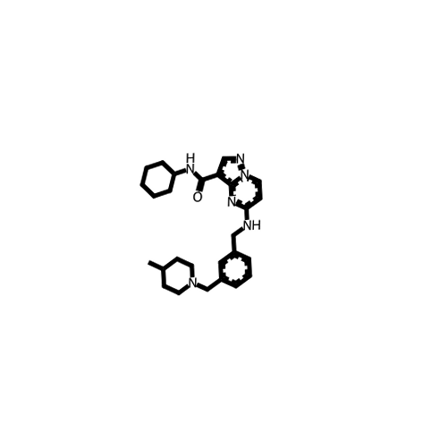 CC1CCN(Cc2cccc(CNc3ccn4ncc(C(=O)NC5CCCCC5)c4n3)c2)CC1